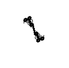 O=C(Nc1ccccc1-c1ccccc1)OC1CCN(CCCCCCN2CCC(OC(=O)Nc3ccccc3-c3ccccc3)CC2)CC1